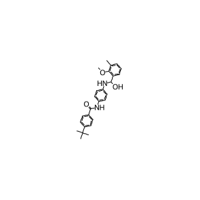 COc1c(C)cccc1C(O)Nc1ccc(NC(=O)c2ccc(C(C)(C)C)cc2)cc1